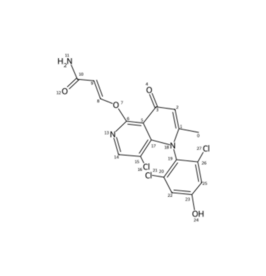 Cc1cc(=O)c2c(OC=CC(N)=O)ncc(Cl)c2n1-c1c(Cl)cc(O)cc1Cl